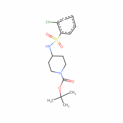 CC(C)(C)OC(=O)N1CCC(NS(=O)(=O)c2c[c]ccc2Cl)CC1